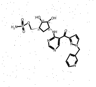 NS(=O)(=O)OC[C@H]1C[C@@H](Nc2ncncc2C(=O)c2ccn(Cc3cccnc3)n2)[C@H](O)[C@@H]1O